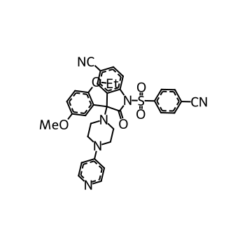 CCOc1ccc(OC)cc1C1(N2CCN(c3ccncc3)CC2)C(=O)N(S(=O)(=O)c2ccc(C#N)cc2)c2ccc(C#N)cc21